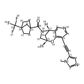 Cn1cncc1C#Cc1cncc2c1O[C@H]1C[C@@H]2N(C(=O)C23CCC(C(F)(F)F)(CC2)C3)C1